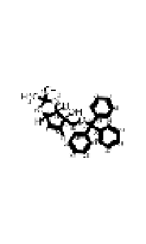 CC1(C)O[C@H]2C=C(I)[C@@](O)(COC(c3ccccc3)(c3ccccc3)c3ccccc3)[C@H]2O1